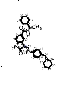 C[C@@H](NC(=O)c1ccc2c(c1)/C(=C/Nc1ccc(CN3CCCCC3)cc1)C(=O)N2)C1CCCCC1